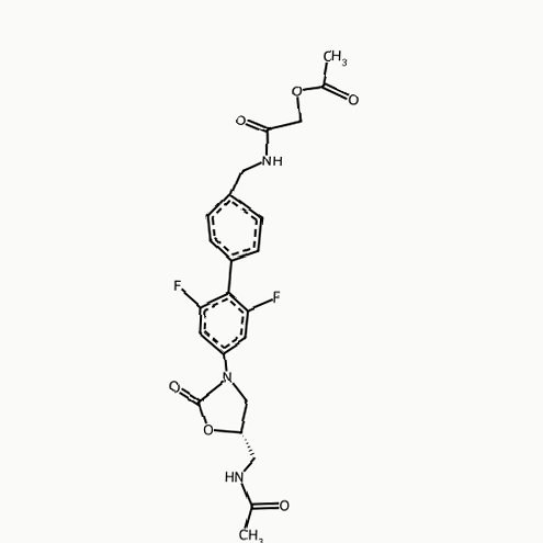 CC(=O)NC[C@H]1CN(c2cc(F)c(-c3ccc(CNC(=O)COC(C)=O)cc3)c(F)c2)C(=O)O1